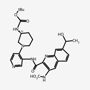 CC(O)c1ccc2cc(NC(=O)O)c(C(=O)Nc3cnccc3N3CCC[C@H](NC(=O)OC(C)(C)C)C3)nc2c1